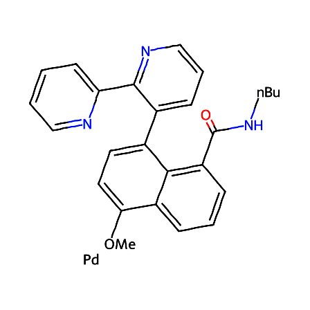 CCCCNC(=O)c1cccc2c(OC)ccc(-c3cccnc3-c3ccccn3)c12.[Pd]